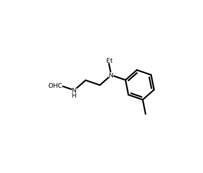 CCN(CCNC=O)c1cccc(C)c1